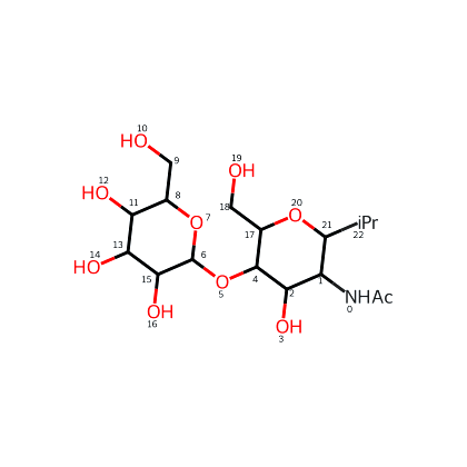 CC(=O)NC1C(O)C(OC2OC(CO)C(O)C(O)C2O)C(CO)OC1C(C)C